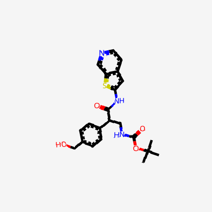 CC(C)(C)OC(=O)NCC(C(=O)Nc1cc2ccncc2s1)c1ccc(CO)cc1